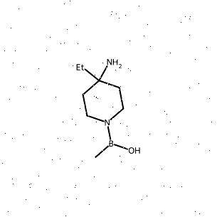 CCC1(N)CCN(B(C)O)CC1